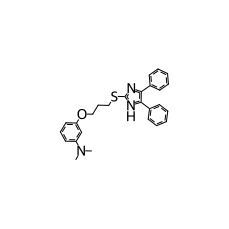 CN(C)c1cccc(OCCCSc2nc(-c3ccccc3)c(-c3ccccc3)[nH]2)c1